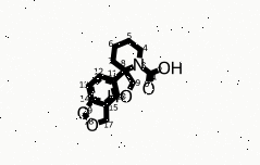 O=C(O)N1CCCCC1(CO)c1ccc2c(c1)COO2